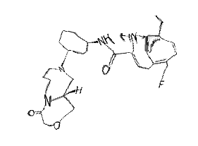 Cc1ccc(F)c2cc(C(=O)N[C@@H]3CCC[C@H](N4CCN5C(=O)COC[C@H]5C4)C3)[nH]c12